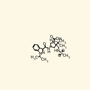 CC(C)n1nc(C(=O)N[C@@H]2CN(C(=O)O)[C@](CNS(C)(=O)=O)(C(C)(C)C)C2)c2ccccc21